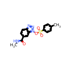 CNC(=O)c1ccc2nnn(OS(=O)(=O)c3ccc(C)cc3)c2c1